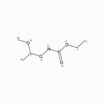 CCOC(=O)[N]OC(C)OC